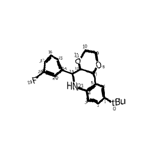 CC(C)(C)c1ccc2c(c1)C1OCCOC1C(c1cccc(F)c1)N2